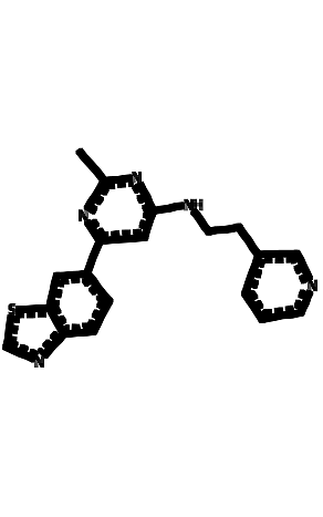 Cc1nc(NCCc2cccnc2)cc(-c2ccc3ncsc3c2)n1